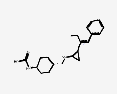 CC/C(=C\c1ccccc1)C1CC1NC[C@H]1CC[C@H](NC(=O)O)CC1